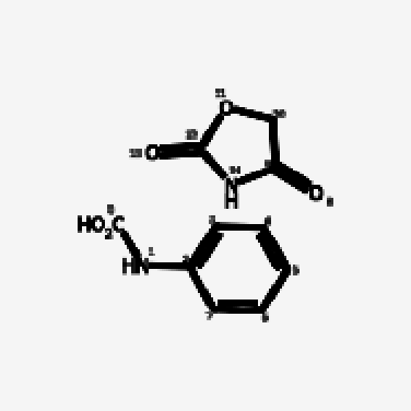 O=C(O)Nc1ccccc1.O=C1COC(=O)N1